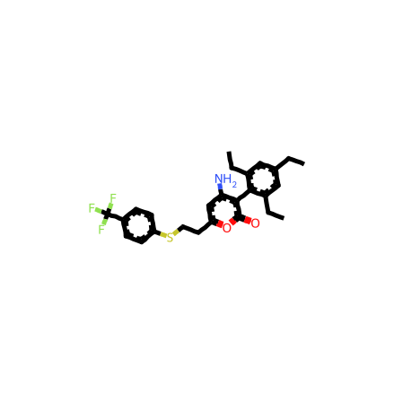 CCc1cc(CC)c(-c2c(N)cc(CCSc3ccc(C(F)(F)F)cc3)oc2=O)c(CC)c1